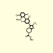 COc1c(Cl)ccc(F)c1-c1c(F)cc(-c2c(C(F)(F)F)nc3n2CCN(C(=O)OC(C)(C)C)C3)cc1Cl